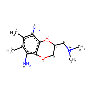 Cc1c(C)c(N)c2c(c1N)OCC(CN(C)C)O2